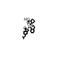 CC(C)Cc1ccc2c(c1)CN(C[C@@H]1c3ccccc3CCN1C(=O)[C@@H]1CCCC[C@@H]1C(=O)O)C2=O